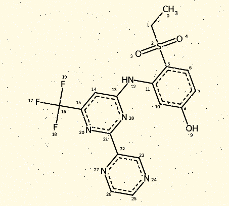 CCS(=O)(=O)c1ccc(O)cc1Nc1cc(C(F)(F)F)nc(-c2cnccn2)n1